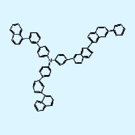 c1ccc(-c2ccc3ccc(-c4ccc5ccc(-c6ccc(N(c7ccc(-c8cccc(-c9cccc%10ccccc9%10)c8)cc7)c7ccc(-c8cccc(-c9cccc%10ccccc9%10)c8)cc7)cc6)cc5c4)cc3c2)cc1